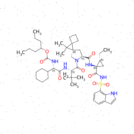 CCCC(CCC)OC(=O)N[C@H](C(=O)N[C@H](C(=O)N1C[C@]2(C[C@H]1C(=O)N[C@]1(C(=O)NS(=O)(=O)c3cccc4cc[nH]c34)C[C@H]1CC)C(C)(C)C21CCC1)C(C)(C)C)C1CCCCC1